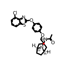 CC(=O)NC1C[C@H]2CC[C@@H](C1)N2CCOc1ccc(Oc2nc3c(Cl)cccc3s2)cc1